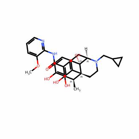 COc1cccnc1NC(=O)C1=C(O)[C@H](C)[C@]23CCN(CC4CC4)[C@H](Cc4ccc(O)c(O)c42)[C@]3(O)C1